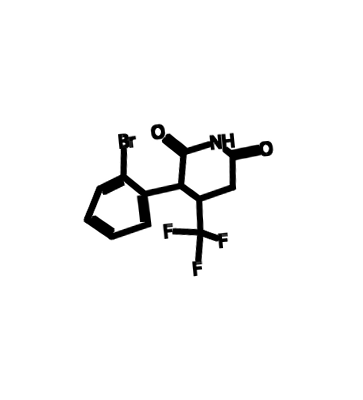 O=C1CC(C(F)(F)F)C(c2ccccc2Br)C(=O)N1